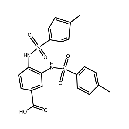 Cc1ccc(S(=O)(=O)Nc2ccc(C(=O)O)cc2NS(=O)(=O)c2ccc(C)cc2)cc1